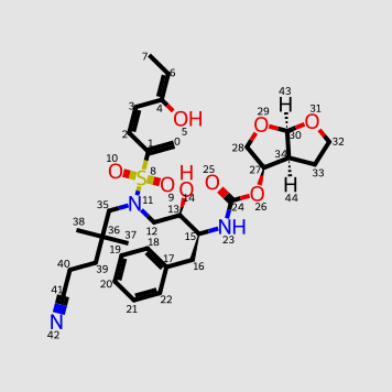 C=C(/C=C\C(O)=C/C)S(=O)(=O)N(C[C@@H](O)[C@H](Cc1ccccc1)NC(=O)O[C@H]1CO[C@H]2OCC[C@H]21)CC(C)(C)CCC#N